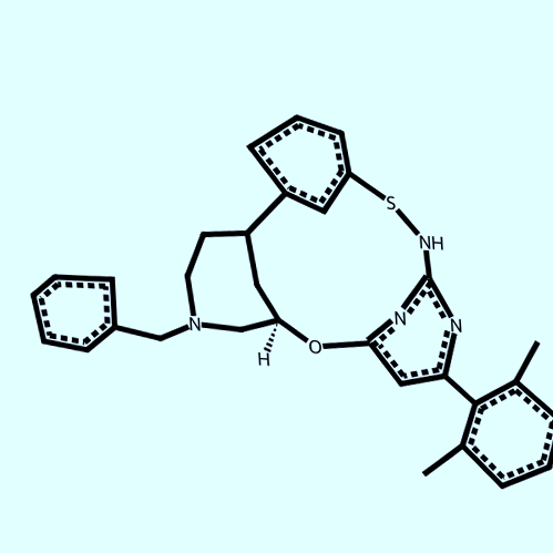 Cc1cccc(C)c1-c1cc2nc(n1)NSc1cccc(c1)C1CCN(Cc3ccccc3)C[C@@H](C1)O2